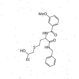 CCC(O)CSCCC(NC(=O)c1cccc(OC)c1)C(=O)NCc1ccccc1